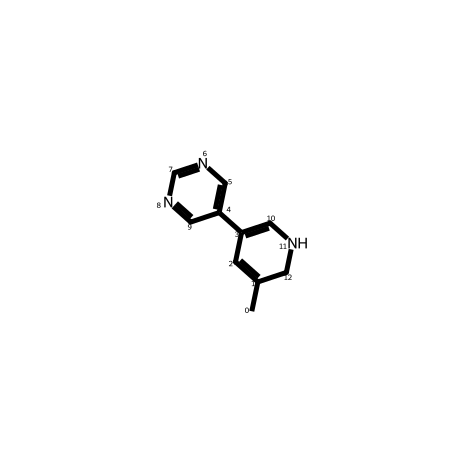 CC1=CC(c2cncnc2)=CNC1